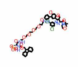 COc1cc2c(cc1-c1cccc(NC(=O)CCOCCOCCOCCOCCNC(=O)[C@H](CS(=O)(=O)O)NC(=O)OCC3c4ccccc4-c4ccccc43)c1)-c1c(c(C(=O)N3CCOCC3(C)C)nn1-c1cc(Cl)cc(Cl)c1)CO2